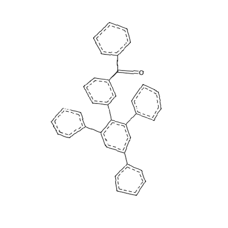 O=C(c1ccccc1)c1cccc(-c2c(-c3ccccc3)cc(-c3ccccc3)cc2-c2ccccc2)c1